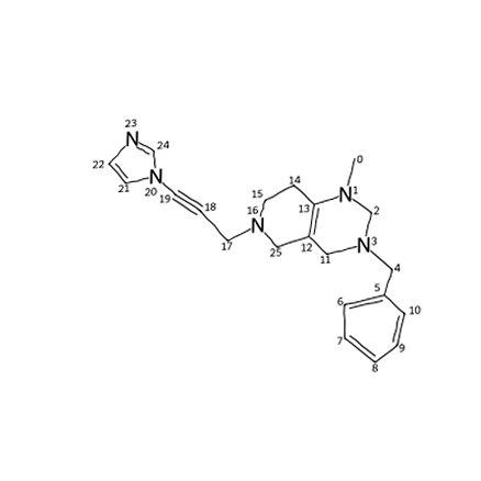 CN1CN(Cc2ccccc2)CC2=C1CCN(CC#Cn1ccnc1)C2